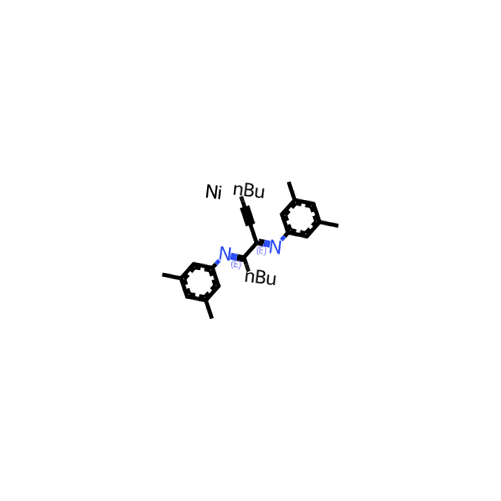 CCCCC#CC(=N\c1cc(C)cc(C)c1)/C(CCCC)=N/c1cc(C)cc(C)c1.[Ni]